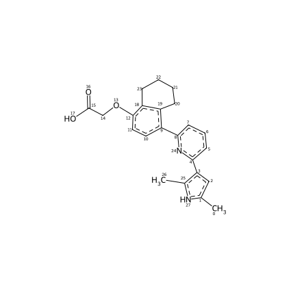 Cc1cc(-c2cccc(-c3ccc(OCC(=O)O)c4c3CCCC4)n2)c(C)[nH]1